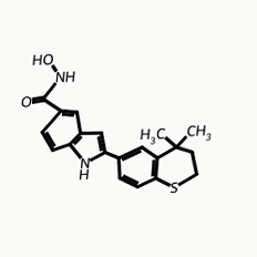 CC1(C)CCSc2ccc(-c3cc4cc(C(=O)NO)ccc4[nH]3)cc21